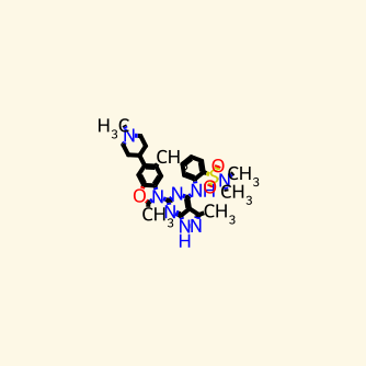 Cc1cc2c(cc1C1CCN(C)CC1)OC(C)N2c1nc(Nc2ccccc2S(=O)(=O)N(C)C)c2c(C)n[nH]c2n1